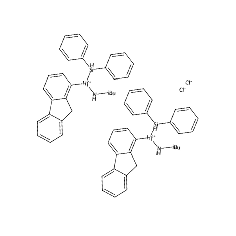 CCC(C)[NH][Hf+]([c]1cccc2c1Cc1ccccc1-2)[SiH](c1ccccc1)c1ccccc1.CCC(C)[NH][Hf+]([c]1cccc2c1Cc1ccccc1-2)[SiH](c1ccccc1)c1ccccc1.[Cl-].[Cl-]